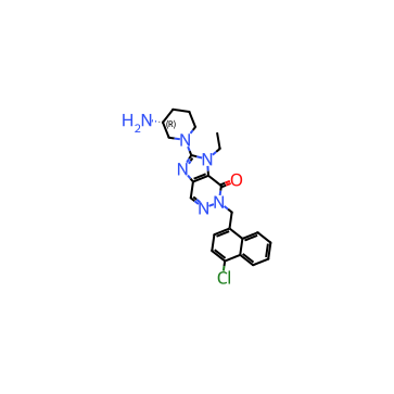 CCn1c(N2CCC[C@@H](N)C2)nc2cnn(Cc3ccc(Cl)c4ccccc34)c(=O)c21